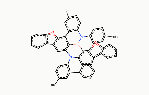 CC(C)(C)c1ccc(N2B3c4c(cc5c(oc6ccccc65)c4-c4cc(C(C)(C)C)ccc42)N(c2ccc(C(C)(C)C)cc2-c2ccccc2)c2ccc4c(oc5ccccc54)c23)cc1